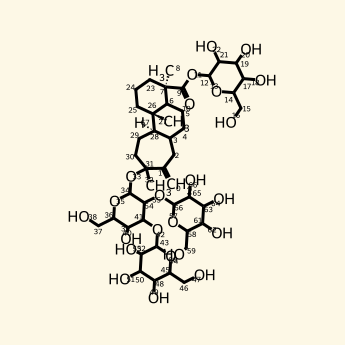 C=C1CC2CCC3[C@](C)(C(=O)OC4OC(CO)C(O)C(O)C4O)CCC[C@@]3(C)[C@@H]2CCC1(C)OC1OC(CO)C(O)C(OC2OC(CO)C(O)C(O)C2O)C1OC1OC(CO)C(O)C(O)C1O